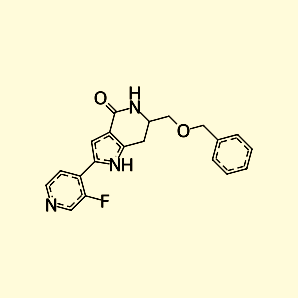 O=C1NC(COCc2ccccc2)Cc2[nH]c(-c3ccncc3F)cc21